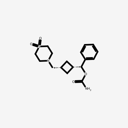 NC(=O)OC(c1ccccc1)[C@H]1C[C@@H](CN2CCS(=O)(=O)CC2)C1